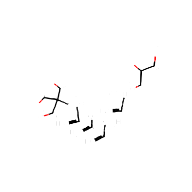 C=CC(=O)O.C=CC(=O)O.C=CC(=O)O.C=CC(=O)O.CCC(CO)(CO)CO.OCC(O)CO